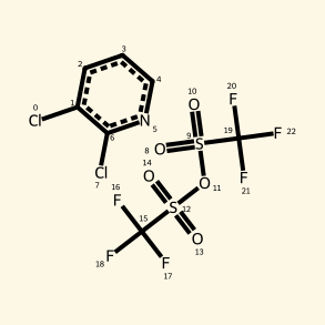 Clc1cccnc1Cl.O=S(=O)(OS(=O)(=O)C(F)(F)F)C(F)(F)F